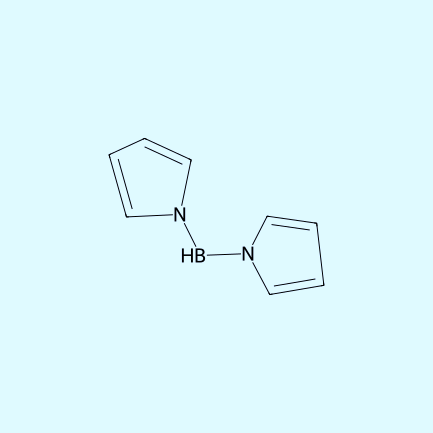 B(n1cccc1)n1cccc1